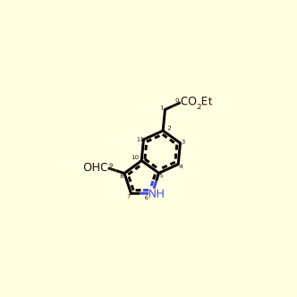 CCOC(=O)Cc1ccc2[nH]cc(C=O)c2c1